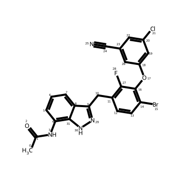 CC(=O)Nc1cccc2c(Cc3ccc(Br)c(Oc4cc(Cl)cc(C#N)c4)c3F)n[nH]c12